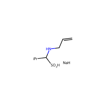 C=CCNC(C(C)C)S(=O)(=O)O.[NaH]